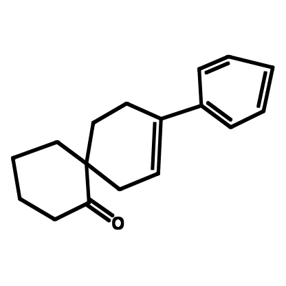 O=C1CCCCC12CC=C(c1ccccc1)CC2